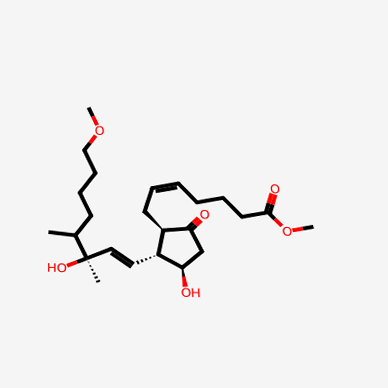 COCCCCC(C)[C@](C)(O)/C=C/[C@H]1[C@H](O)CC(=O)[C@@H]1C/C=C\CCCC(=O)OC